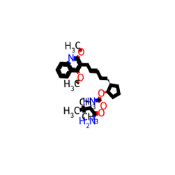 COc1nc2ccccc2c(OC)c1C/C=C/CC[C@@H]1CCC[C@H]1OC(=O)N[C@H](C(N)=O)C(C)(C)C